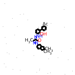 CC(=O)c1cccc(-c2cccc(N/N=C3\C(=O)N(c4ccc5c(c4)CC(C)(C)C5)N=C3C)c2O)c1